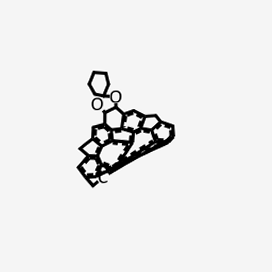 c1c2c3c4c(cc5c6c7c(cc8c9c%10c(cc%11c%12c(c1C%11)c3c(c46)c(c%12%10)c79)C1OC3(CCCCC3)OC81)C5)CC2